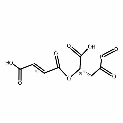 O=PC(=O)C[C@H](OC(=O)/C=C/C(=O)O)C(=O)O